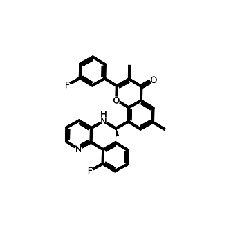 Cc1cc([C@@H](C)Nc2cccnc2-c2ccccc2F)c2oc(-c3cccc(F)c3)c(C)c(=O)c2c1